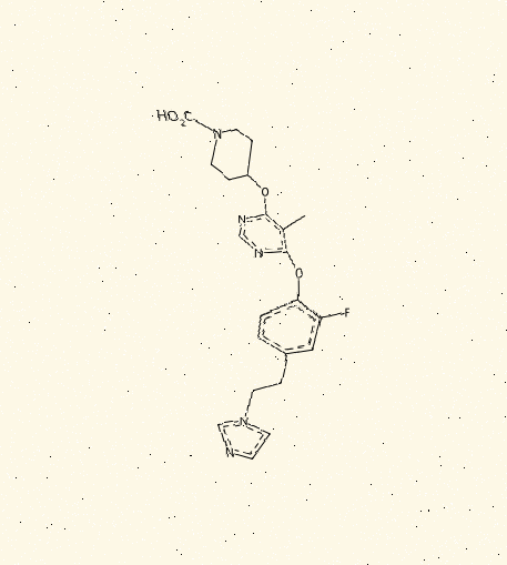 Cc1c(Oc2ccc(CCn3ccnc3)cc2F)ncnc1OC1CCN(C(=O)O)CC1